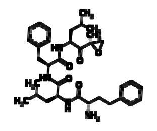 CC(C)C[C@H](NC(=O)[C@@H](N)CCc1ccccc1)C(=O)N[C@@H](Cc1ccccc1)C(=O)N[C@@H](CC(C)C)C(=O)[C@@]1(C)CO1